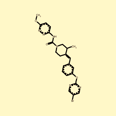 COc1ccc(NC(=O)N2CCC(=Cc3cccc(Oc4ncc(Br)cn4)c3)C(C)C2)nn1